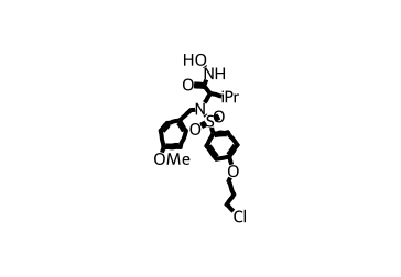 COc1ccc(CN(C(C(=O)NO)C(C)C)S(=O)(=O)c2ccc(OCCCCl)cc2)cc1